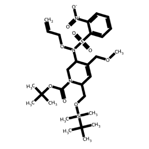 C=CCON(C1CN(C(=O)OC(C)(C)C)C(CO[Si](C)(C)C(C)(C)C)C=C1COC)S(=O)(=O)c1ccccc1[N+](=O)[O-]